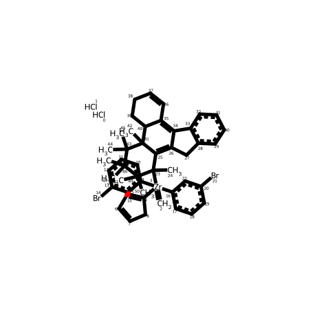 Cl.Cl.[CH2]=[Zr]([C]1=CC=CC1)([c]1cccc(Br)c1)([c]1cccc(Br)c1)[C]1(C)C2=C3Cc4ccccc4C3=C3C=CCCC3C2(C)C(C)(C)C(C)(C)C1(C)C